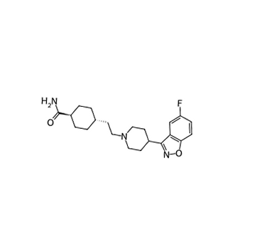 NC(=O)[C@H]1CC[C@H](CCN2CCC(c3noc4ccc(F)cc34)CC2)CC1